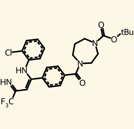 CC(C)(C)OC(=O)N1CCCN(C(=O)c2ccc(/C(=C/C(=N)C(F)(F)F)Nc3ccccc3Cl)cc2)CC1